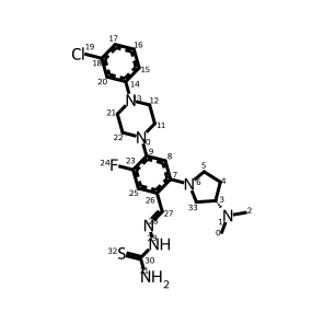 CN(C)[C@H]1CCN(c2cc(N3CCN(c4cccc(Cl)c4)CC3)c(F)cc2/C=N/NC(N)=S)C1